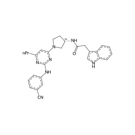 CCCc1cc(N2CC[C@H](NC(=O)Cc3c[nH]c4ccccc34)C2)nc(Nc2cccc(C#N)c2)n1